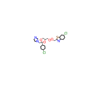 Clc1ccc(C2(Cn3ccnc3)OCC(COOCc3nc4ccc(Cl)cc4s3)O2)cc1